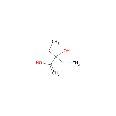 C=C(O)C(O)(CC)CC